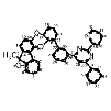 CC1(C)c2ccccc2-c2c1ccc1c2Oc2c(cccc2-c2cccc(-c3cc(-c4ccccc4)nc(-c4ccccn4)n3)c2)O1